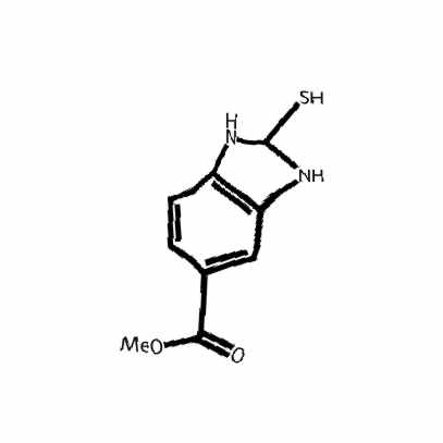 COC(=O)c1ccc2c(c1)NC(S)N2